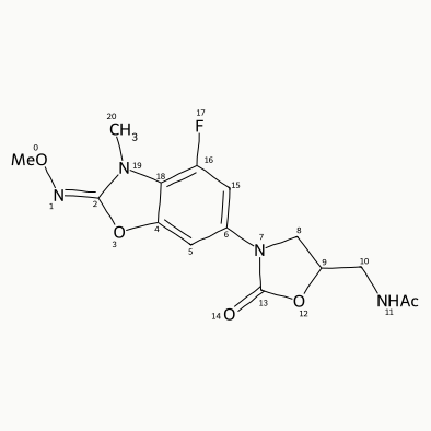 CON=c1oc2cc(N3CC(CNC(C)=O)OC3=O)cc(F)c2n1C